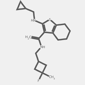 C=C(NCC1CC(C)(F)C1)c1c(NCC2CC2)sc2c1CCCC2